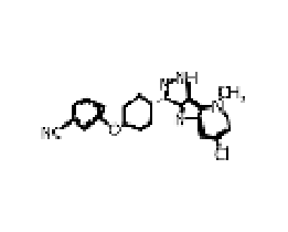 CN1CC=C(Cl)C=C2N=C3C(=C21)CNN=C3[C@H]1CC[C@H](Oc2cccc(C#N)c2)CC1